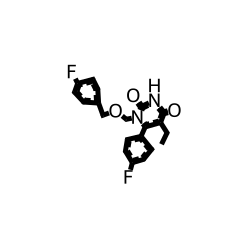 CCc1c(-c2ccc(F)cc2)n(COCc2ccc(F)cc2)c(=O)[nH]c1=O